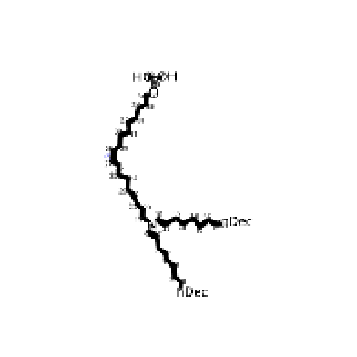 CCCCCCCCCCCCCCCCC=CN(C=CCCCCCCCCCCCCCCCC)CCCCCCCC/C=C\CCCCCCCCOP(O)O